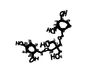 OCC(CO)(COCc1ccc(O)cc1O)COCc1ccc(O)cc1O